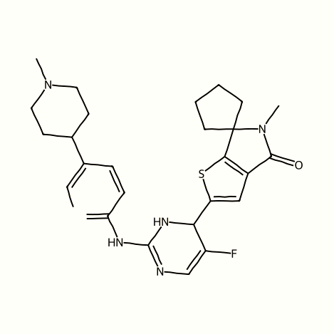 C=C(/C=C\C(=C/C)C1CCN(C)CC1)NC1=NC=C(F)C(c2cc3c(s2)C2(CCCC2)N(C)C3=O)N1